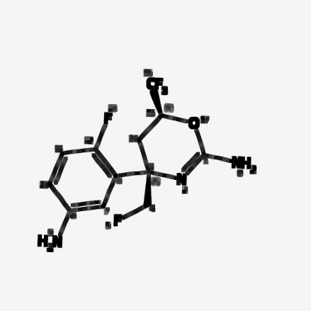 NC1=N[C@](CF)(c2cc(N)ccc2F)C[C@@H](C(F)(F)F)O1